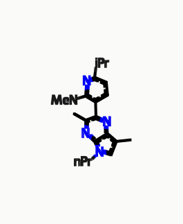 CCCn1cc(C)c2nc(-c3ccc(C(C)C)nc3NC)c(C)nc21